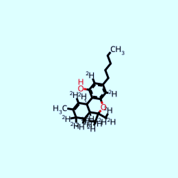 [2H]C1=C(C)C([2H])([2H])C([2H])([2H])[C@@]2([2H])C(C([2H])([2H])[2H])(C([2H])([2H])[2H])Oc3c([2H])c(CCCCC)c([2H])c(O)c3[C@]12[2H]